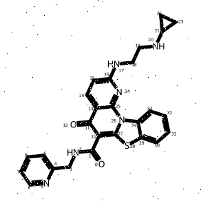 O=C(NCc1ccccn1)c1c(=O)c2ccc(NCCNC3CC3)nc2n2c1sc1ccccc12